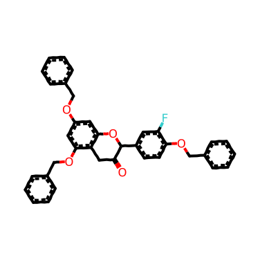 O=C1Cc2c(OCc3ccccc3)cc(OCc3ccccc3)cc2OC1c1ccc(OCc2ccccc2)c(F)c1